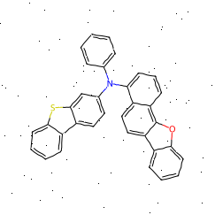 c1ccc(N(c2ccc3c(c2)sc2ccccc23)c2cccc3c2ccc2c4ccccc4oc32)cc1